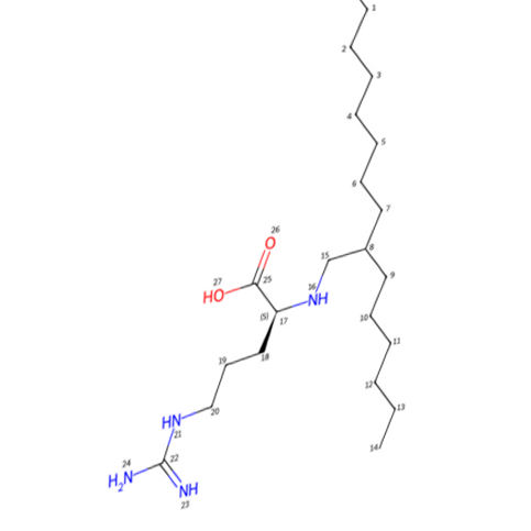 CCCCCCCCC(CCCCCC)CN[C@@H](CCCNC(=N)N)C(=O)O